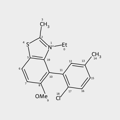 CC[n+]1c(C)sc2ccc(OC)c(-c3cc(C)ccc3Cl)c21